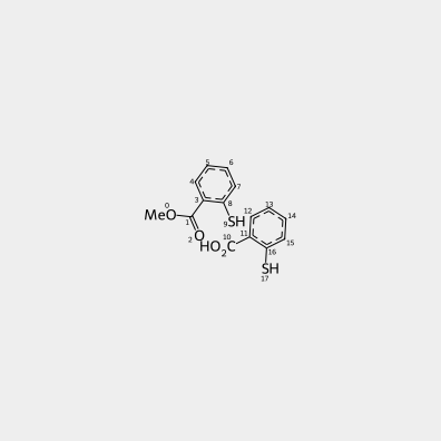 COC(=O)c1ccccc1S.O=C(O)c1ccccc1S